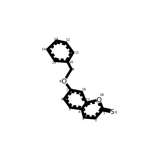 S=c1ccc2ccc(OCc3ccccc3)cc2o1